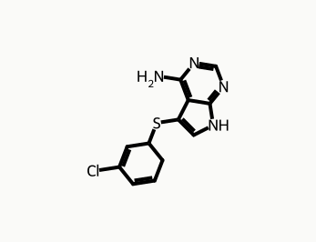 Nc1ncnc2[nH]cc(SC3C=C(Cl)C=CC3)c12